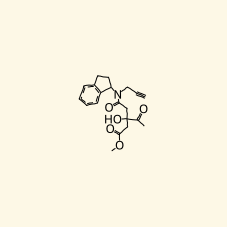 C#CCN(C(=O)CC(O)(CC(=O)OC)C(C)=O)C1CCc2ccccc21